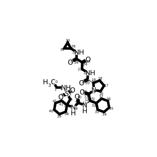 CCNS(=O)(=O)CC1(NC(=O)N[C@H](C(=O)N2CCC[C@H]2C(=O)NCC(=O)C(=O)NC2CC2)C2CCCCC2)CCCCC1